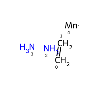 C=C.N.N.[Mn]